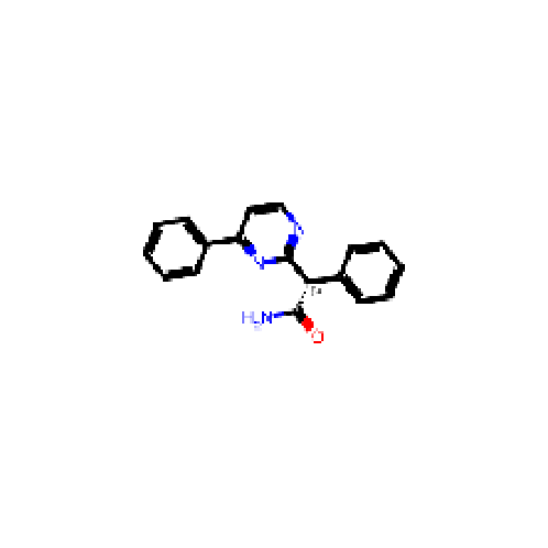 NC(=O)[C@@H](c1ccccc1)c1nccc(-c2ccccc2)n1